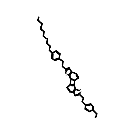 CCCCCCCCCCc1ccc(CCc2cc3ccc4c(c3s2)-c2ccc3cc(CCc5ccc(CC)cc5)sc3c2-4)cc1